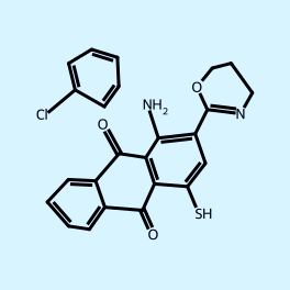 Clc1ccccc1.Nc1c(C2=NCCCO2)cc(S)c2c1C(=O)c1ccccc1C2=O